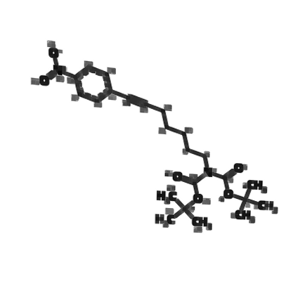 CC(C)(C)OC(=O)N(CCCCCC#Cc1ccc([N+](=O)[O-])cc1)C(=O)OC(C)(C)C